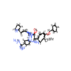 COc1cc([C@H](Nc2ccc(C(=N)N)cc2)C(=O)NCCc2ccccn2)ccc1OCc1ccccc1